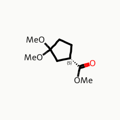 COC(=O)[C@H]1CCC(OC)(OC)C1